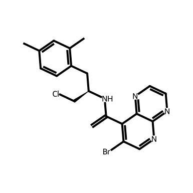 C=C(N[C@@H](CCl)Cc1ccc(C)cc1C)c1c(Br)cnc2nccnc12